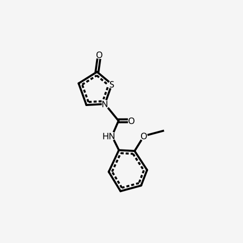 COc1ccccc1NC(=O)n1ccc(=O)s1